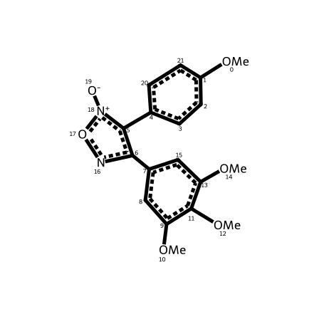 COc1ccc(-c2c(-c3cc(OC)c(OC)c(OC)c3)no[n+]2[O-])cc1